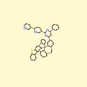 C1=Cc2ccc(-c3cc(-c4ccccc4)nc(-c4ccc(-c5cccnc5)nc4)n3)cc2C2(c3ccccc31)c1ccccc1-c1cc3sc4ccccc4c3cc12